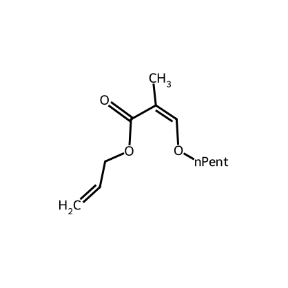 C=CCOC(=O)C(C)=COCCCCC